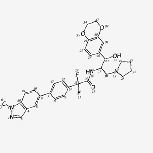 Cn1ncc2cc(-c3ccc(C(F)(F)C(=O)NC(CN4CCCC4)C(O)c4ccc5c(c4)OCCO5)cc3)ccc21